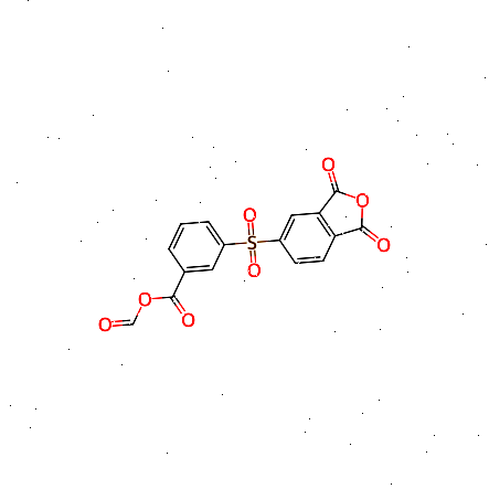 O=COC(=O)c1cccc(S(=O)(=O)c2ccc3c(c2)C(=O)OC3=O)c1